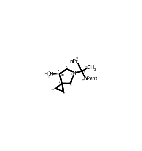 CCCCCC(C)(CCC)N1C[C@H](N)C2(CC2)C1